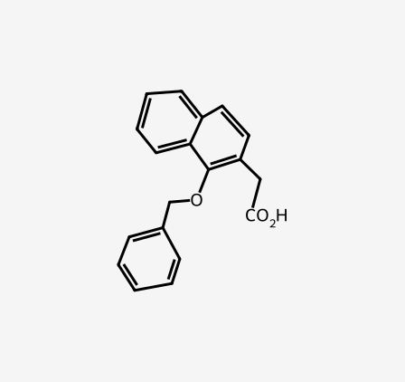 O=C(O)Cc1ccc2ccccc2c1OCc1ccccc1